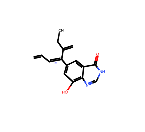 C=C/C=C(\C(=C)CC#N)c1cc(O)c2nc[nH]c(=O)c2c1